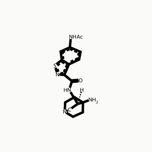 CC(=O)Nc1ccc2c(C(=O)N[C@@H]3CN4CCC3(N)CC4)nsc2c1